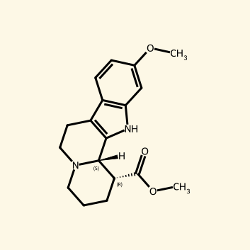 COC(=O)[C@@H]1CCCN2CCc3c([nH]c4cc(OC)ccc34)[C@H]12